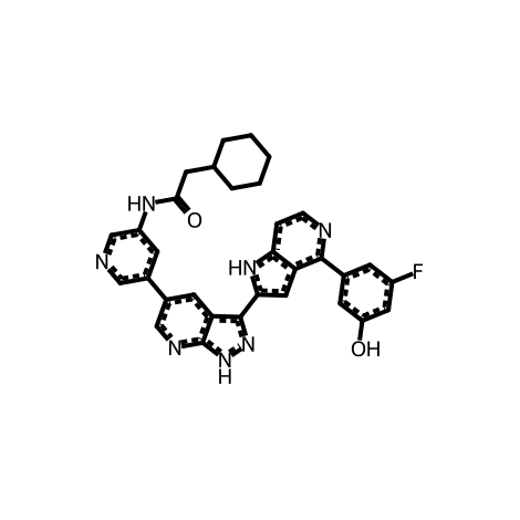 O=C(CC1CCCCC1)Nc1cncc(-c2cnc3[nH]nc(-c4cc5c(-c6cc(O)cc(F)c6)nccc5[nH]4)c3c2)c1